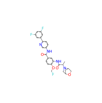 CC(C(=O)Nc1cc(C(=O)Nc2ccc(-c3cc(F)cc(F)c3)nc2)ccc1OCF)N1CC2CC1CO2